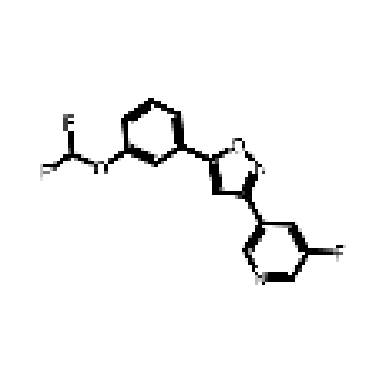 Fc1cncc(-c2cc(-c3cccc(OC(F)F)c3)on2)c1